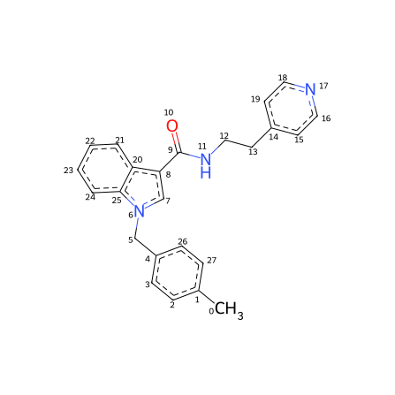 Cc1ccc(Cn2cc(C(=O)NCCc3ccncc3)c3ccccc32)cc1